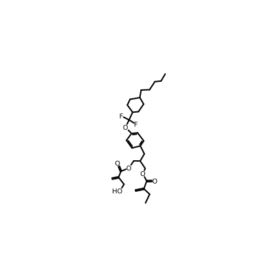 C=C(CC)C(=O)OCC(COC(=O)C(=C)CO)Cc1ccc(OC(F)(F)C2CCC(CCCCC)CC2)cc1